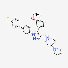 COc1cccc(-c2c(CN3CCC(N4CCCC4)CC3)cnn2-c2ccc(-c3ccc(F)cc3)cc2)c1